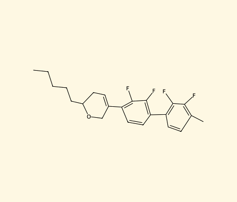 CCCCCC1CC=C(c2ccc(-c3ccc(C)c(F)c3F)c(F)c2F)CO1